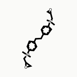 C[N+](C)(CC1CO1)c1ccc(CCc2ccc([N+](C)(C)CC3CO3)cc2)cc1